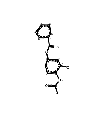 CC(=O)Oc1ccc(OC(=O)c2ccccc2)cc1Cl